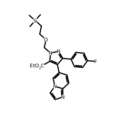 CCOC(=O)c1c(-c2ccc3nccn3c2)c(-c2ccc(F)cc2)nn1COCC[Si](C)(C)C